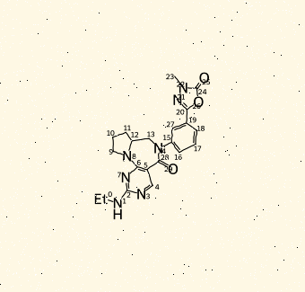 CCNc1ncc2c(n1)N1CCCC1CN(c1cccc(-c3nn(C)c(=O)o3)c1)C2=O